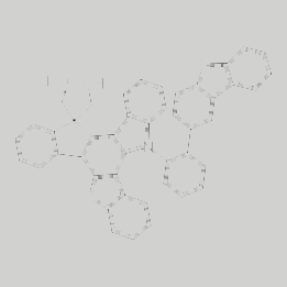 CCC1(CC)c2ccccc2-c2c1c1c3ccccc3n(-c3ccccc3-c3ccc4sc5ccccc5c4c3)c1c1c2oc2ccccc21